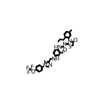 CCCc1ccc(C)cc1N1C(=O)CSC1=NC(=O)Nc1ccc(NCc2ncn(-c3ccc(OC(F)(F)F)cc3)n2)cc1F